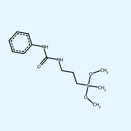 CO[Si](C)(CCCNC(=O)Nc1ccccc1)OC